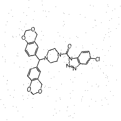 O=C(N1CCN(C(c2ccc3c(c2)COCO3)c2ccc3c(c2)COCO3)CC1)n1nnc2cc(Cl)ccc21